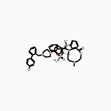 CN1CCOC(=O)c2cccc([N+](=O)[O-])c2N(C(=O)c2ccc(N3CCN(Cc4ccccc4-c4ccc(Cl)cc4)CC3)cc2)[C@@H](C(Sc2ccccc2)S(N)(=O)=O)CC1